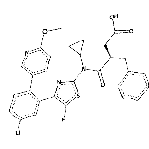 COc1ccc(-c2ccc(Cl)cc2-c2nc(N(C(=O)[C@@H](CC(=O)O)Cc3ccccc3)C3CC3)sc2F)cn1